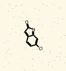 O=C1C=c2ccc(Cl)cc2=N1